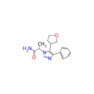 CC(C(N)=O)n1cnc(-c2ccccc2)c1C1CCOC1